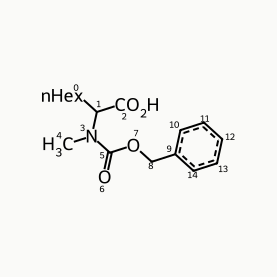 CCCCCCC(C(=O)O)N(C)C(=O)OCc1ccccc1